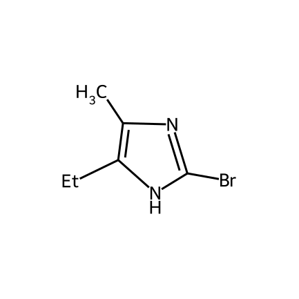 CCc1[nH]c(Br)nc1C